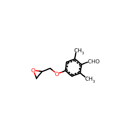 Cc1cc(OCC2CO2)cc(C)c1C=O